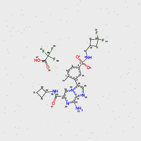 Cc1ccc(S(=O)(=O)NCC2CC(F)(F)C2)cc1-c1cnc2c(N)nc(C(=O)NC3CCC3)cn12.O=C(O)C(F)(F)F